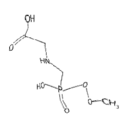 COOP(=O)(O)CNCC(=O)O